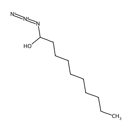 CCCCCCCCCC(O)N=[N+]=[N-]